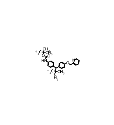 CC(C)(C)OC(=O)Nc1ccc(C(c2ccc(OCc3ccccn3)cc2)C(C)(C)C)cc1